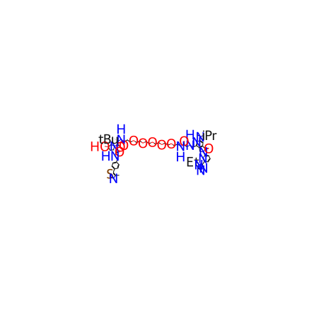 CCn1cnnc1-c1cccc(N2Cc3c(cc(N(C)C(C)C)nc3CNCC(=O)NCCOCCOCCOCCOCCOCCC(=O)N[C@H](C(=O)N3C[C@H](O)C[C@H]3C(=O)NCc3ccc(-c4scnc4C)cc3)C(C)(C)C)C2=O)n1